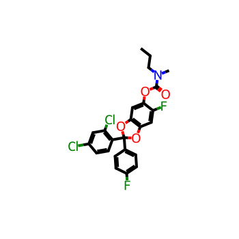 CCCN(C)C(=O)Oc1cc2c(cc1F)OC(c1ccc(F)cc1)(c1ccc(Cl)cc1Cl)O2